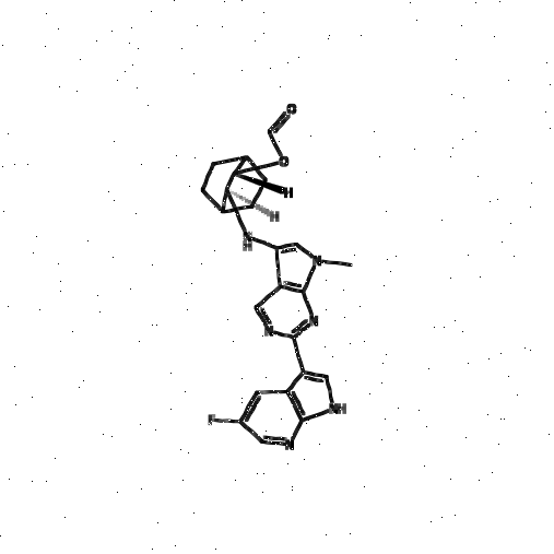 Cn1cc(N[C@H]2C3CCC(CC3)[C@@H]2OC=O)c2cnc(-c3c[nH]c4ncc(F)cc34)nc21